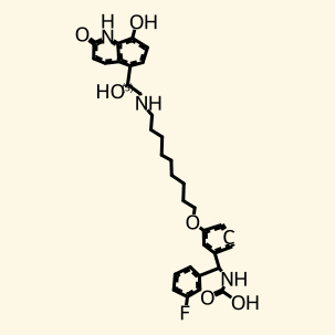 O=C(O)NC(c1cccc(F)c1)c1cccc(OCCCCCCCCCNC[C@@H](O)c2ccc(O)c3[nH]c(=O)ccc23)c1